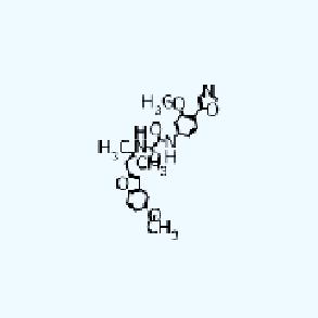 COc1ccc2oc(CC(C)(C)NC(=O)C(=O)Nc3ccc(-c4cnco4)c(OC)c3)cc2c1